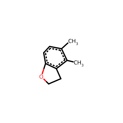 Cc1ccc2c(c1C)CCO2